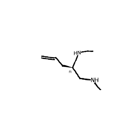 C=CC[C@H](CNC)NC